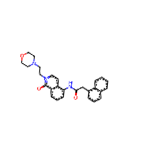 O=C(Cc1cccc2ccccc12)Nc1cccc2c(=O)n(CCN3CCOCC3)ccc12